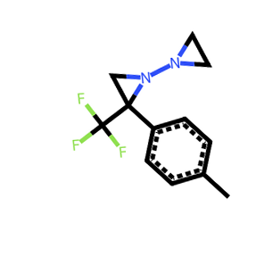 Cc1ccc(C2(C(F)(F)F)CN2N2CC2)cc1